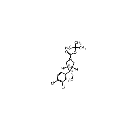 CC(C)(C)OC(=O)N1C[C@@H]2[C@H](C1)[C@@]2(CO)c1ccc(Cl)c(Cl)c1